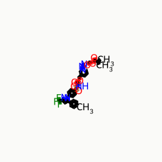 Cc1ccc(-c2cc(C(F)(F)F)nn2-c2ccc(S(=O)(=O)NC(=O)OCC3CCCN(/N=N\OCOC(=O)C(C)C)C3)cc2)cc1